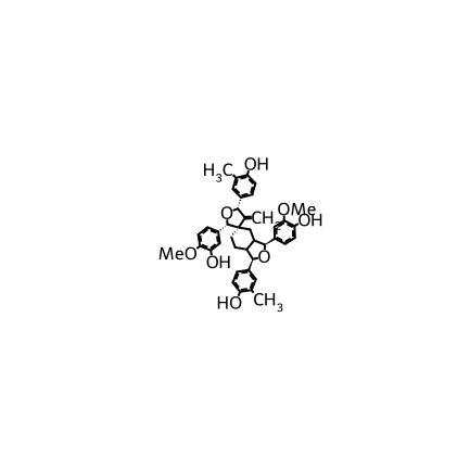 C=C1[C@@H](c2ccc(O)c(C)c2)O[C@@H](c2ccc(OC)c(O)c2)[C@@]12CCC1C(C2)[C@@H](c2ccc(O)c(OC)c2)O[C@H]1c1ccc(O)c(C)c1